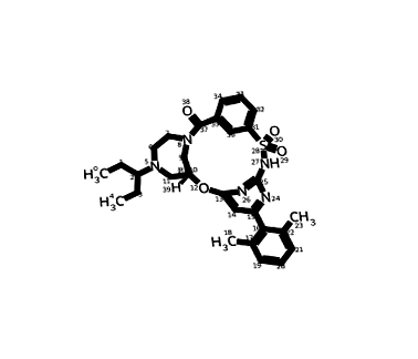 CCC(CC)N1CCN2C[C@@H](C1)Oc1cc(-c3c(C)cccc3C)nc(n1)NS(=O)(=O)c1cccc(c1)C2=O